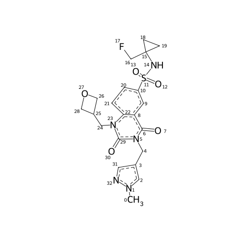 Cn1cc(Cn2c(=O)c3cc(S(=O)(=O)NC4(CF)CC4)ccc3n(CC3COC3)c2=O)cn1